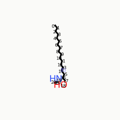 CCCCCCCCCCCCC/C=C/CC(CO)NCC